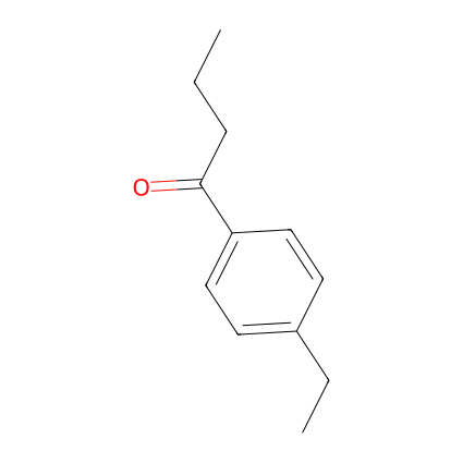 CCCC(=O)c1ccc(CC)cc1